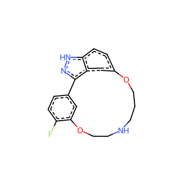 Fc1ccc2cc1OCCNCCCOc1ccc3[nH]nc-2c3c1